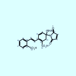 CC(=O)NC1(N2C(=O)C=CC2=O)C=CC(C=Cc2ccccc2S(=O)(=O)O)=C(S(=O)(=O)O)C1